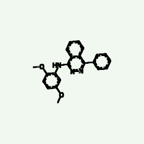 COc1ccc(OC)c(Nc2nnc(-c3ccccc3)c3ccccc23)c1